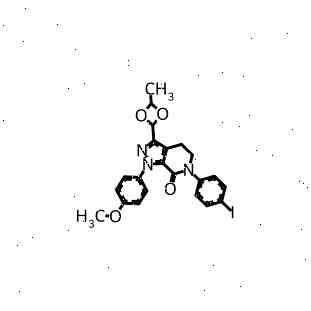 COc1ccc(-n2nc(C3OC(C)O3)c3c2C(=O)N(c2ccc(I)cc2)CC3)cc1